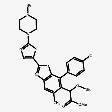 COC(=O)C(OC(C)(C)C)c1c(C)cc2nc(-c3cnc(N4CCN(C(C)C)CC4)s3)sc2c1-c1ccc(Cl)cc1